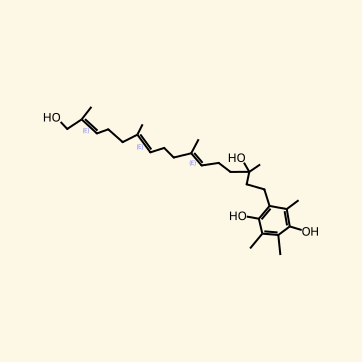 C/C(=C\CC/C(C)=C/CC/C(C)=C/CCC(C)(O)CCc1c(C)c(O)c(C)c(C)c1O)CO